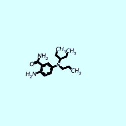 CCCN(c1ccc(N)c(C(N)=O)c1)C(CC)CC